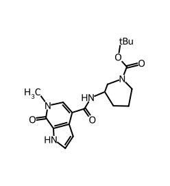 Cn1cc(C(=O)NC2CCCN(C(=O)OC(C)(C)C)C2)c2cc[nH]c2c1=O